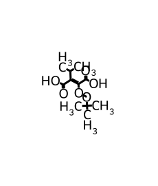 CC(C)/C(C(=O)O)=C(/OOC(C)(C)C)C(=O)O